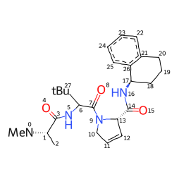 CN[C@@H](C)C(=O)NC(C(=O)N1CC=C[C@H]1C(=O)N[C@@H]1CCCc2ccccc21)C(C)(C)C